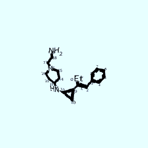 CC/C(=C\c1ccccc1)[C@H]1C[C@@H]1NC1CCN(CCN)CC1